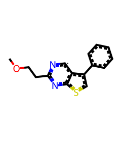 COCCc1n[c]c2c(-c3ccccc3)csc2n1